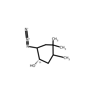 CC1C[C@H](O)C(N=[N+]=[N-])CC1(C)C